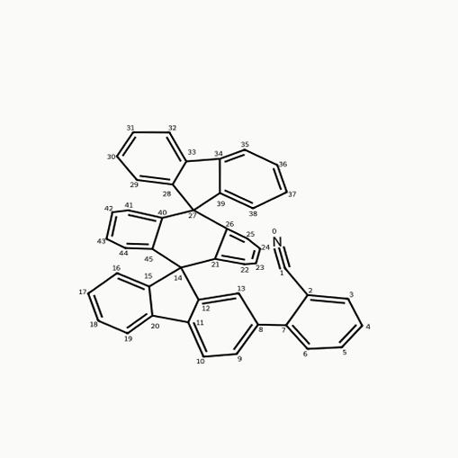 N#Cc1ccccc1-c1ccc2c(c1)C1(c3ccccc3-2)c2ccccc2C2(c3ccccc3-c3ccccc32)c2ccccc21